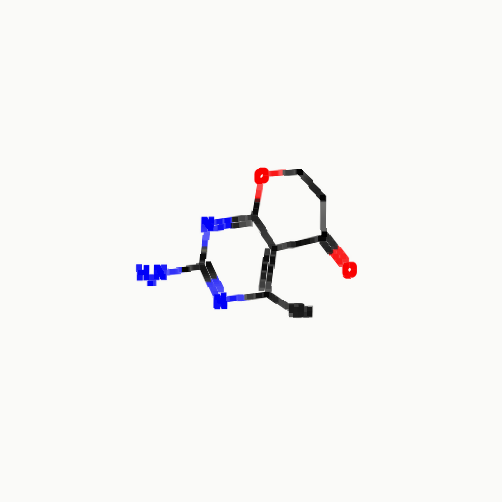 CC(C)(C)c1nc(N)nc2c1C(=O)CCO2